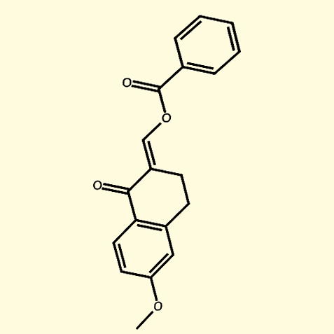 COc1ccc2c(c1)CCC(=COC(=O)c1ccccc1)C2=O